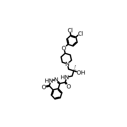 C[C@](O)(CNC(=O)c1n[nH]c(=O)c2ccccc12)CN1CCC(Oc2ccc(Cl)c(Cl)c2)CC1